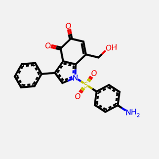 Nc1ccc(S(=O)(=O)n2cc(-c3ccccc3)c3c2C(CO)=CC(=O)C3=O)cc1